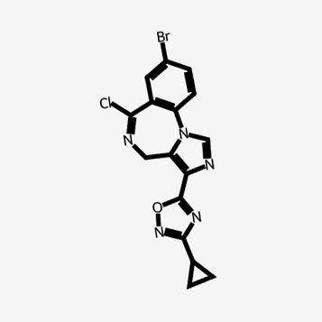 ClC1=NCc2c(-c3nc(C4CC4)no3)ncn2-c2ccc(Br)cc21